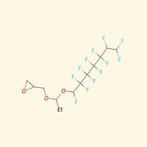 CCC(OCC1CO1)OC(F)C(F)(F)C(F)(F)C(F)(F)C(F)(F)C(F)C(F)F